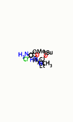 CCN(CCNC(=O)c1cc(Cl)c(N)cc1OC)C(C)(C)CCOC(C)(C)C